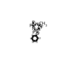 CP1(F)=NP(F)(Oc2ccccc2)=NP(F)(F)=N1